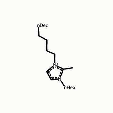 CCCCCCCCCCCCCC[n+]1ccn(CCCCCC)c1C